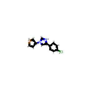 Clc1ccc(-c2cn(-c3ccsc3)cn2)cc1